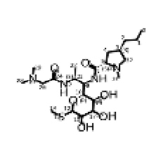 CCC[C@@H]1C[C@@H](C(=O)N[C@@H]([C@H]2OC(SC)[C@H](O)C(O)[C@@H]2O)[C@H](C)NC(=O)CN(C)C)N(C)C1